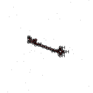 COc1ccccc1N(C)C(=O)c1cc(-c2cnc(C(F)(F)F)cc2C#N)c(Cl)cc1OCCCC(=O)NCCOCCOCCOCCOCCOCCOCCOCCOCCNC(=O)CN1CCN(CC(=O)O)CCN(CC(=O)O)CCN(CC(=O)O)CC1